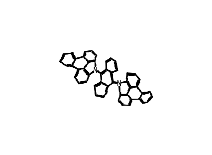 c1ccc2c(-n3c4cccc5c6ccccc6c6cccc3c6c54)c3ccccc3c(-n3c4cccc5c6ccccc6c6cccc3c6c54)c2c1